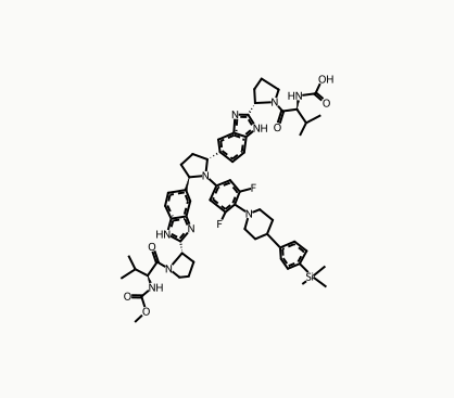 COC(=O)N[C@H](C(=O)N1CCC[C@H]1c1nc2cc([C@H]3CC[C@H](c4ccc5[nH]c([C@@H]6CCCN6C(=O)[C@@H](NC(=O)O)C(C)C)nc5c4)N3c3cc(F)c(N4CCC(c5ccc([Si](C)(C)C)cc5)CC4)c(F)c3)ccc2[nH]1)C(C)C